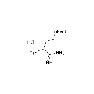 CCCCCCCC(C)C(=N)N.Cl